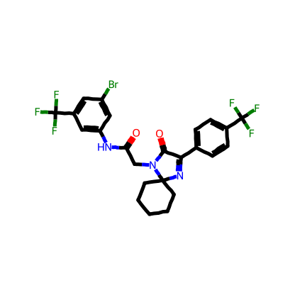 O=C(CN1C(=O)C(c2ccc(C(F)(F)F)cc2)=NC12CCCCC2)Nc1cc(Br)cc(C(F)(F)F)c1